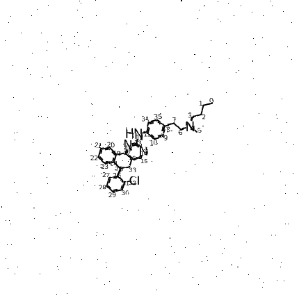 CCCCN(C)CCc1ccc(Nc2ncc3c(n2)-c2ccccc2C(c2ccccc2Cl)C3)cc1